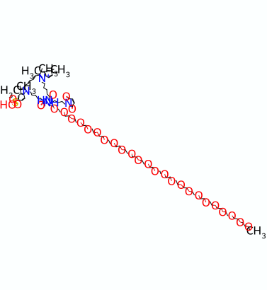 COCCOCCOCCOCCOCCOCCOCCOCCOCCOCCOCCOCCOCCOCCOCCOCCOCCOCCOCCOCCOCCOCCOCCOCCNC(=O)CCCCCN1C(=CC=CC=CC2=[N+](CCCCCC(=O)NCCCCCN3C(=O)C=CC3=O)c3ccc(C)cc3C2(C)C)C(C)(C)c2cc(S(=O)(=O)O)ccc21